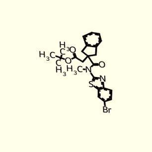 CN(C(=O)C1(CC(=O)OC(C)(C)C)Cc2ccccc2C1)c1nc2ccc(Br)cc2s1